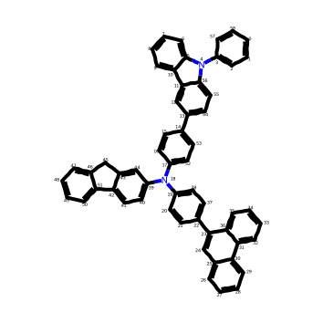 c1ccc(-n2c3ccccc3c3cc(-c4ccc(N(c5ccc(-c6cc7ccccc7c7ccccc67)cc5)c5ccc6c(c5)Cc5ccccc5-6)cc4)ccc32)cc1